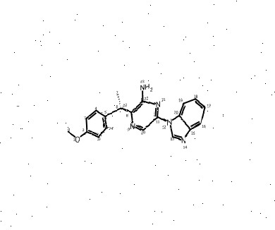 COc1ccc([C@H](C)c2ncc(-n3cnc4ccccc43)nc2N)cc1